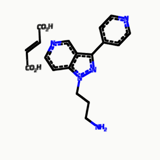 NCCCn1nc(-c2ccncc2)c2cnccc21.O=C(O)C=CC(=O)O